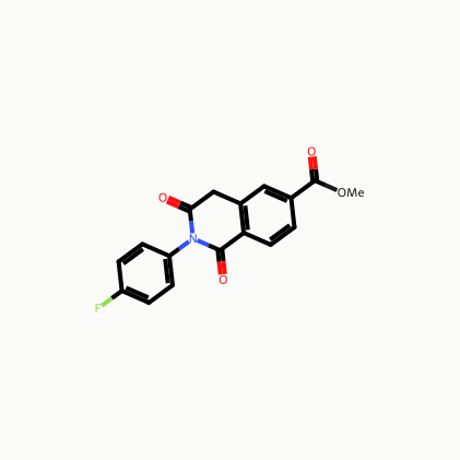 COC(=O)c1ccc2c(c1)CC(=O)N(c1ccc(F)cc1)C2=O